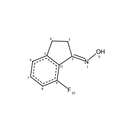 ON=C1CCc2cccc(F)c21